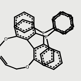 C1=C\COc2cccc(P(c3ccccc3)c3ccccc3)c2-c2c(cccc2P(c2ccccc2)c2ccccc2)OC/1